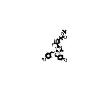 COc1ccc(CN(Cc2ccc(OC)cc2)c2nc(C)nc(-c3cc(C(C)(C)C(=O)OC(C)(C)C)cnc3F)n2)cc1